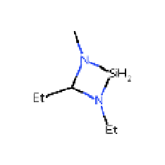 CCC1N(C)[SiH2]N1CC